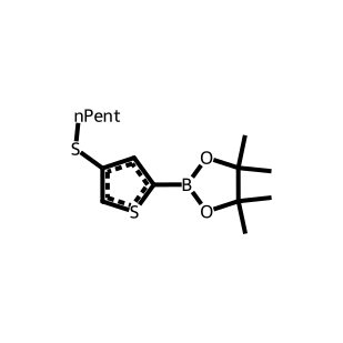 CCCCCSc1csc(B2OC(C)(C)C(C)(C)O2)c1